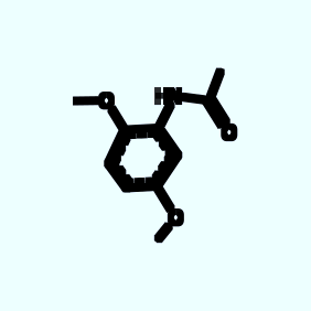 COc1ccc(OC)c(NC(C)=O)c1